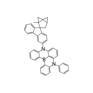 CC12CC13CC3CC21c2ccccc2-c2cc(N3c4ccccc4B4c5ccccc5N(c5ccccc5)c5cccc3c54)ccc21